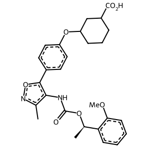 COc1ccccc1[C@@H](C)OC(=O)Nc1c(C)noc1-c1ccc(OC2CCCC(C(=O)O)C2)cc1